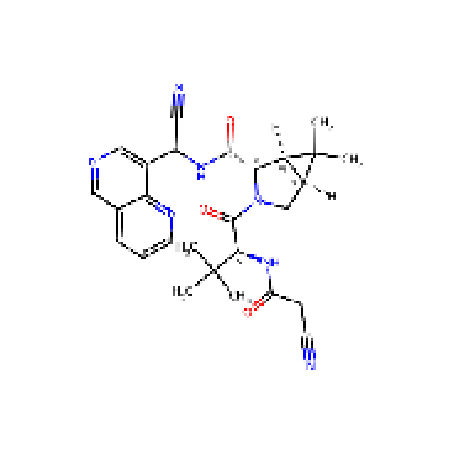 CC(C)(C)[C@H](NC(=O)CC#N)C(=O)N1C[C@H]2[C@@H]([C@H]1C(=O)NC(C#N)c1cncc3cccnc13)C2(C)C